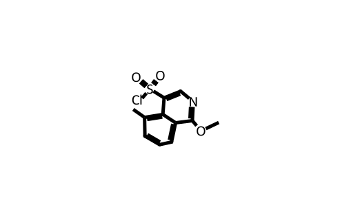 COc1ncc(S(=O)(=O)Cl)c2c(C)cccc12